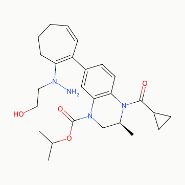 CC(C)OC(=O)N1C[C@H](C)N(C(=O)C2CC2)c2ccc(C3=C(N(N)CCO)CCCC=C3)cc21